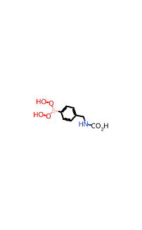 O=C(O)NCc1ccc(B(OO)OO)cc1